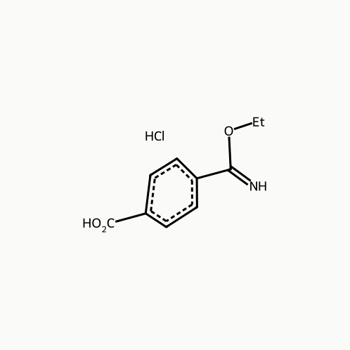 CCOC(=N)c1ccc(C(=O)O)cc1.Cl